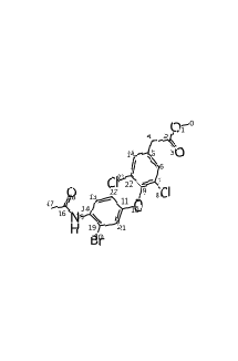 COC(=O)Cc1cc(Cl)c(Oc2ccc(NC(C)=O)c(Br)c2)c(Cl)c1